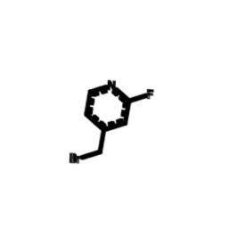 Fc1cc(CBr)ccn1